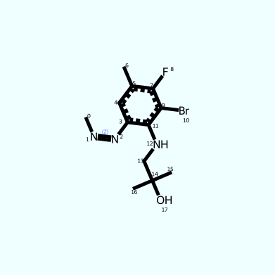 C/N=N\c1cc(C)c(F)c(Br)c1NCC(C)(C)O